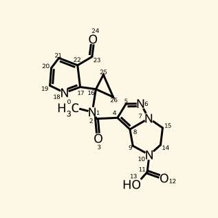 CN(C(=O)c1cnn2c1CN(C(=O)O)CC2)C1(c2ncccc2C=O)CC1